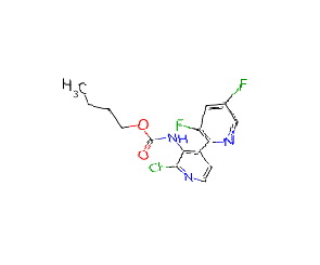 CCCCOC(=O)Nc1c(-c2ncc(F)cc2F)ccnc1Cl